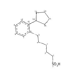 O=S(=O)(O)CCCCCc1ccccc1C1CCCC1